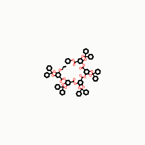 C=CCOc1cc(C(=O)Oc2cc(C(=O)Oc3cc(C(=O)Oc4cc(C(=O)Oc5cc(C(=O)Oc6ccccc6)cc6c5OC(c5ccccc5)(c5ccccc5)O6)cc5c4OC(c4ccccc4)(c4ccccc4)O5)cc4c3OC(c3ccccc3)(c3ccccc3)O4)cc3c2OC(c2ccccc2)(c2ccccc2)O3)cc2c1OC(c1ccccc1)(c1ccccc1)O2